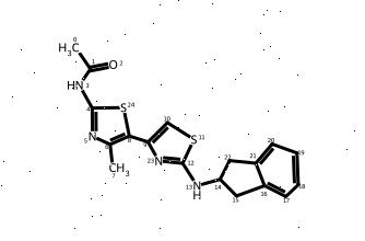 CC(=O)Nc1nc(C)c(-c2csc(NC3Cc4ccccc4C3)n2)s1